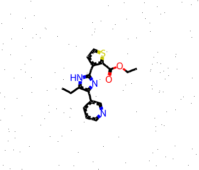 CCOC(=O)c1sccc1-c1nc(-c2cccnc2)c(CC)[nH]1